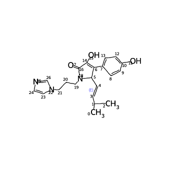 CC(C)/C=C/C1C(c2ccc(O)cc2)=C(O)C(=O)N1CCCn1ccnc1